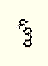 CC1CCC(=O)N1C1=CCN(Cc2ccccc2)CC1